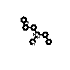 c1ccc(-c2cccc(-c3cc(-c4cccc(-c5cccc6c5sc5ccccc56)c4)nc(-c4cccnc4)n3)c2)cc1